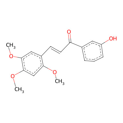 COc1cc(OC)c(OC)cc1/C=C/C(=O)c1cccc(O)c1